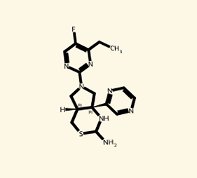 CCc1nc(N2C[C@H]3CSC(N)N[C@@]3(c3cnccn3)C2)ncc1F